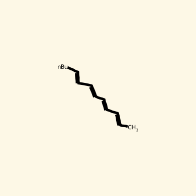 [CH2]CCCC=CC=CC=CC=CC